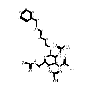 CC(=O)OCC1O[C@@H](OCCCCOCc2ccccc2)C(OC(C)=O)C(OC(C)=O)[C@@H]1OC(C)=O